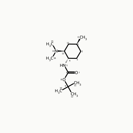 C[C@H]1CC[C@H](NC(=O)OC(C)(C)C)[C@@H](N(C)C)C1